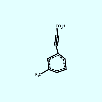 O=C(O)C#Cc1cccc(C(F)(F)F)c1